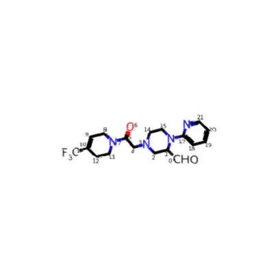 O=CC1CN(CC(=O)N2CC=C(C(F)(F)F)CC2)CCN1c1ccccn1